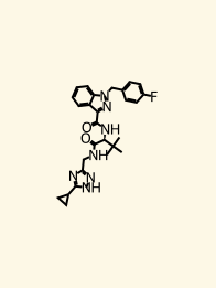 CC(C)(C)[C@H](NC(=O)c1nn(Cc2ccc(F)cc2)c2ccccc12)C(=O)NCc1n[nH]c(C2CC2)n1